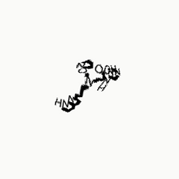 O=C(O)C(CCN(CCCCc1ccc2c(n1)NCCC2)CCOc1ccccn1)Nc1ccncn1